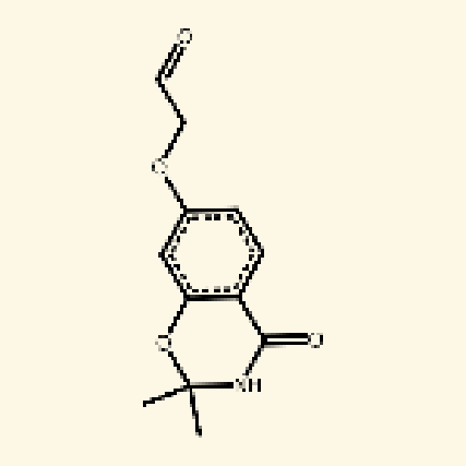 CC1(C)NC(=O)c2ccc(OCC=O)cc2O1